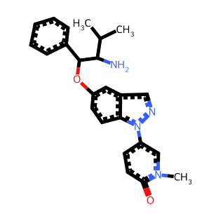 CC(C)C(N)C(Oc1ccc2c(cnn2-c2ccc(=O)n(C)c2)c1)c1ccccc1